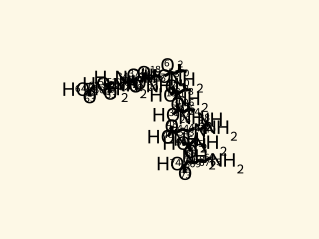 CC(C)[C@H](N)C(=O)O.CC(C)[C@H](N)C(=O)O.CC(C)[C@H](N)C(=O)O.CC(C)[C@H](N)C(=O)O.C[C@H](N)C(=O)O.N=C(N)NCCC[C@H](N)C(=O)O.NCC(=O)O.NCC(=O)O.NCC(=O)O.NCCCC[C@H](N)C(=O)O